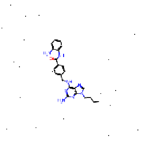 CCCCn1cnc2c(NCc3ccc(C(=O)Nc4ccccc4N)cc3)nc(N)nc21